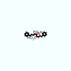 O=C(O)C(CCCc1ccccc1)C(=O)C(CCCc1ccccc1)C(=O)O